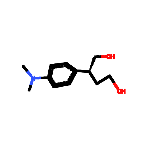 CN(C)c1ccc([C@H](CO)CCO)cc1